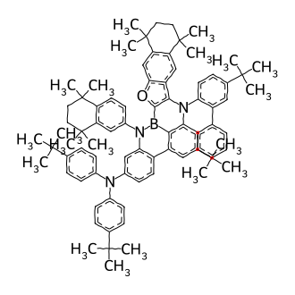 CC(C)(C)c1ccc(N(c2ccc(C(C)(C)C)cc2)c2ccc3c(c2)N(c2ccc4c(c2)C(C)(C)CCC4(C)C)B2c4oc5cc6c(cc5c4N(c4ccc(C(C)(C)C)cc4-c4ccccc4)c4cc(C(C)(C)C)cc-3c42)C(C)(C)CCC6(C)C)cc1